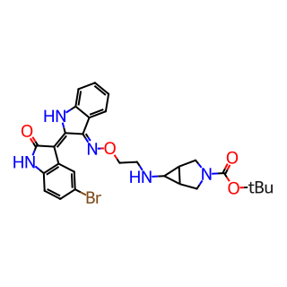 CC(C)(C)OC(=O)N1CC2C(C1)C2NCCO/N=C1/C(=C2/C(=O)Nc3ccc(Br)cc32)Nc2ccccc21